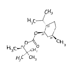 CC(C)[C@@H]1CC[C@@H](C)C[C@H]1OC(=O)O[C@H](C)C(C)(C)C